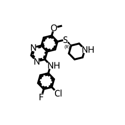 COc1cc2ncnc(Nc3ccc(F)c(Cl)c3)c2cc1S[C@@H]1CCCNC1